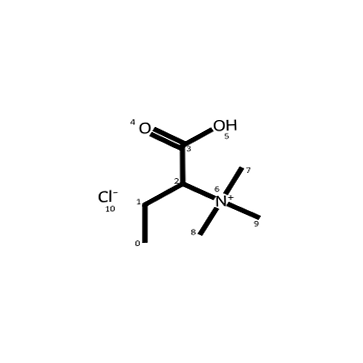 CCC(C(=O)O)[N+](C)(C)C.[Cl-]